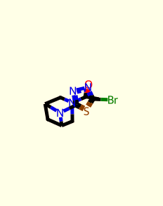 CC(=O)N1CC2CC(C1)N2c1nnc(Br)s1